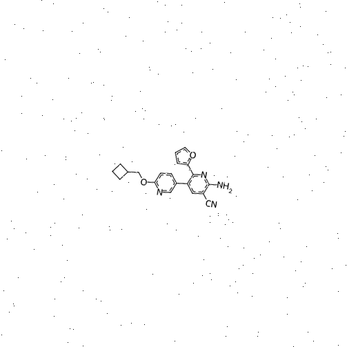 N#Cc1cc(-c2ccc(OCC3CCC3)nc2)c(-c2ccco2)nc1N